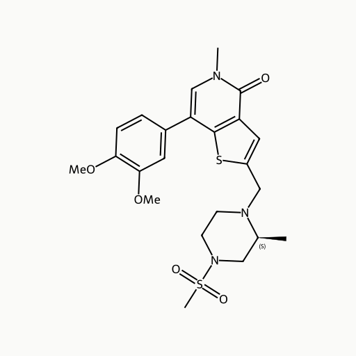 COc1ccc(-c2cn(C)c(=O)c3cc(CN4CCN(S(C)(=O)=O)C[C@@H]4C)sc23)cc1OC